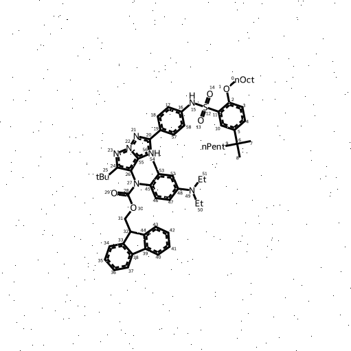 CCCCCCCCOc1ccc(C(C)(C)CCCCC)cc1S(=O)(=O)Nc1ccc(-c2nn3nc(C(C)(C)C)c(N(C(=O)OCC4c5ccccc5-c5ccccc54)c4ccc(N(CC)CC)cc4C)c3[nH]2)cc1